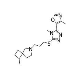 Cc1ncoc1-c1nnc(SCCCN2CCC3(CCC3C)C2)n1C